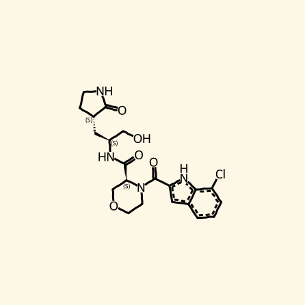 O=C1NCC[C@H]1C[C@@H](CO)NC(=O)[C@@H]1COCCN1C(=O)c1cc2cccc(Cl)c2[nH]1